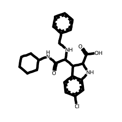 O=C(O)C1Nc2cc(Cl)ccc2C1C(NCc1ccccc1)C(=O)NC1CCCCC1